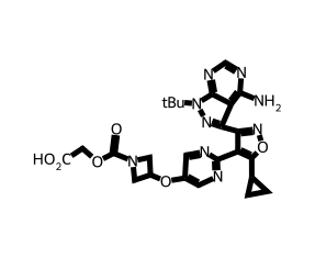 CC(C)(C)n1nc(-c2noc(C3CC3)c2-c2ncc(OC3CN(C(=O)OCC(=O)O)C3)cn2)c2c(N)ncnc21